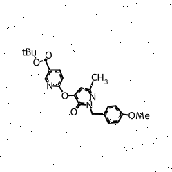 COc1ccc(Cn2nc(C)cc(Oc3ccc(C(=O)OC(C)(C)C)cn3)c2=O)cc1